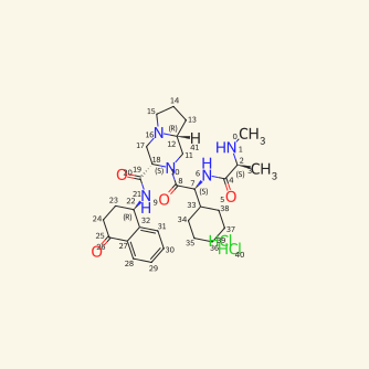 CN[C@@H](C)C(=O)N[C@H](C(=O)N1C[C@H]2CCCN2C[C@H]1C(=O)N[C@@H]1CCC(=O)c2ccccc21)C1CCCCC1.Cl.Cl